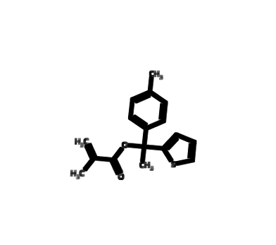 C=C(C)C(=O)OC(C)(c1ccc(C)cc1)c1cccs1